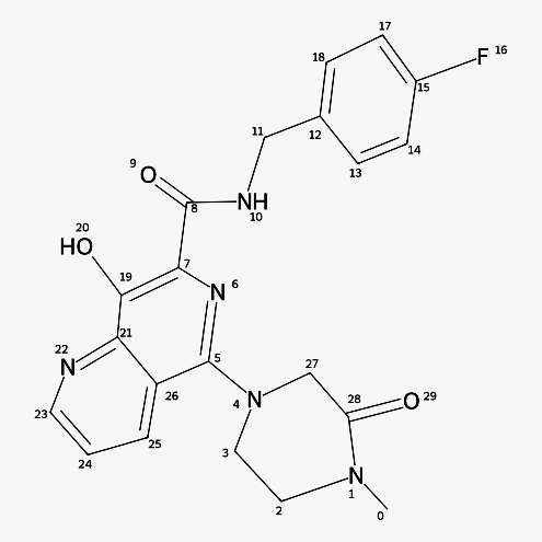 CN1CCN(c2nc(C(=O)NCc3ccc(F)cc3)c(O)c3ncccc23)CC1=O